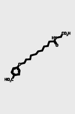 O=C(O)CNC(=O)CCCCCCCCCCOc1ccc(C(=O)O)cc1